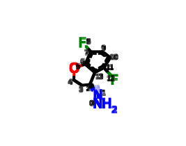 N/N=C1\CCOc2c(F)ccc(F)c21